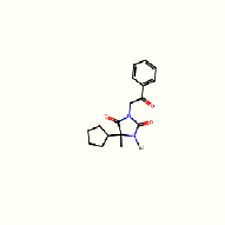 CCN1C(=O)N(CC(=O)c2ccccc2)C(=O)C1(C)C1CCCC1